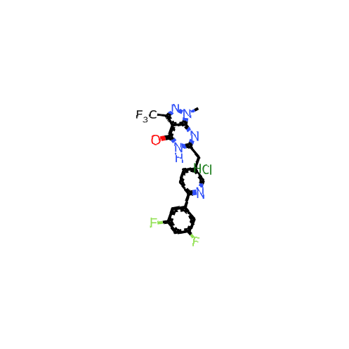 Cl.Cn1nc(C(F)(F)F)c2c(=O)[nH]c(Cc3ccc(-c4cc(F)cc(F)c4)nc3)nc21